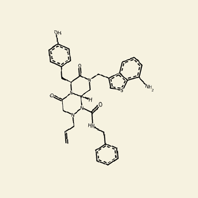 C=CCN1CC(=O)N2[C@@H](Cc3ccc(O)cc3)C(=O)N(Cc3csc4c(N)cccc34)C[C@@H]2N1C(=O)NCc1ccccc1